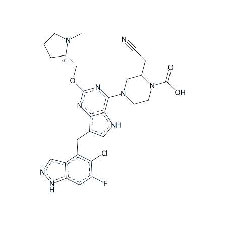 CN1CCC[C@H]1COc1nc(N2CCN(C(=O)O)C(CC#N)C2)c2[nH]cc(Cc3c(Cl)c(F)cc4[nH]ncc34)c2n1